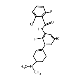 CN(C)C1CC=C(c2cccc(NC(=O)c3c(F)cccc3Cl)c2F)CC1.Cl